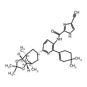 C#Cc1c[nH]c(C(=O)Nc2ccc([C@H]3C[C@@]4(C)O[C@@](C)(C3)[C@@H]3OC(C)(C)O[C@@H]34)nc2C2=CCC(C)(C)CC2)n1